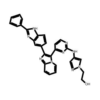 OCCn1cc(Nc2nccc(-c3c(-c4ccc5[nH]c(-c6ccccc6)nc5c4)nc4ccccn34)n2)cn1